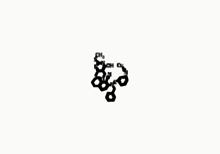 CSc1nc(O)c2c(n1)C[C@]1(CCCc3ccc(N(Cc4ccccc4)Cc4ccccc4)c(C#N)c31)OC2.N#[C][Cu]